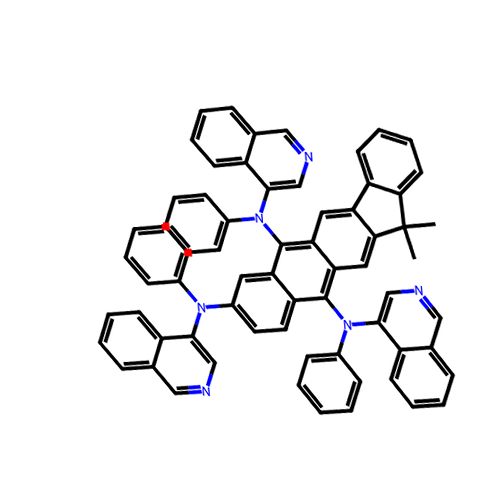 CC1(C)c2ccccc2-c2cc3c(N(c4ccccc4)c4cncc5ccccc45)c4cc(N(c5ccccc5)c5cncc6ccccc56)ccc4c(N(c4ccccc4)c4cncc5ccccc45)c3cc21